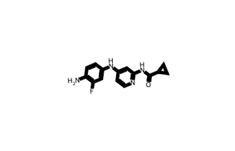 Nc1ccc(Nc2ccnc(NC(=O)C3CC3)c2)cc1F